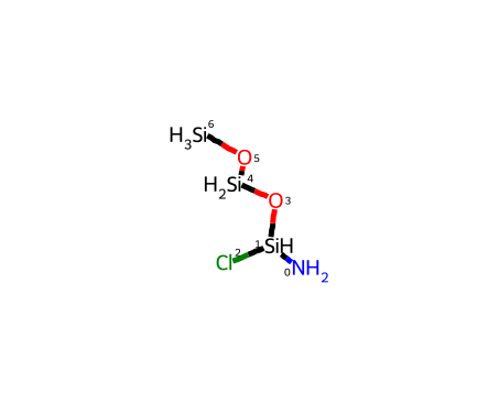 N[SiH](Cl)O[SiH2]O[SiH3]